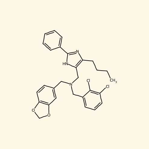 CCCCc1nc(-c2ccccc2)[nH]c1CN(Cc1ccc2c(c1)OCO2)Cc1cccc(Cl)c1Cl